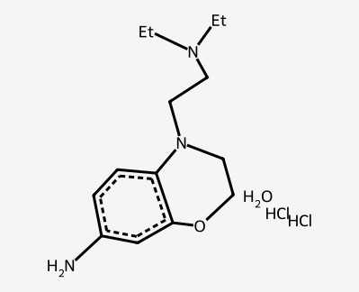 CCN(CC)CCN1CCOc2cc(N)ccc21.Cl.Cl.O